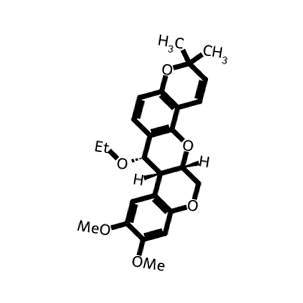 CCO[C@@H]1c2ccc3c(c2O[C@@H]2COc4cc(OC)c(OC)cc4[C@H]12)C=CC(C)(C)O3